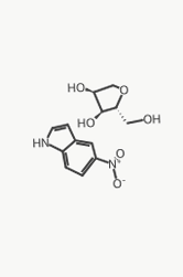 O=[N+]([O-])c1ccc2[nH]ccc2c1.OC[C@H]1OC[C@H](O)[C@@H]1O